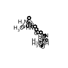 COC[C@H]1C[C@@H](c2nc3ccc4cc5c(cc4c3[nH]2)OCc2cc(-c3cnc([C@@H]4CCCN4C(=O)[C@@H](NC4OCO4)C(C)C)[nH]3)ccc2-5)N(C(=O)[C@H](N)c2ccccc2)C1